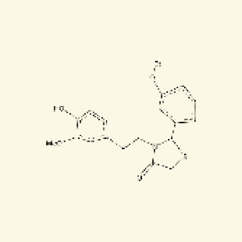 CCOc1cccc(C2SCC(=O)N2CCc2ccc(O)c(OC)c2)c1